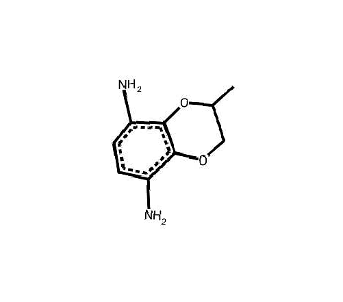 CC1COc2c(N)ccc(N)c2O1